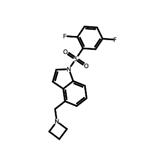 O=S(=O)(c1cc(F)ccc1F)n1ccc2c(CN3CCC3)cccc21